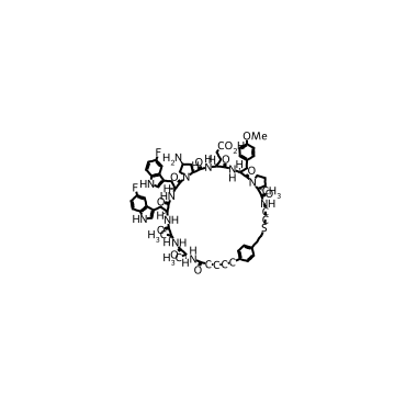 COc1ccc(C[C@@H]2NC(=O)[C@H](CCC(=O)O)NC(=O)[C@@H]3C[C@H](N)CN3C(=O)[C@@H](Cc3c[nH]c4ccc(F)cc34)NC(=O)[C@H](Cc3c[nH]c4ccc(F)cc34)NC(=O)[C@@H](C)NC(=O)[C@H](C)NC(=O)CCCCc3ccc(cc3)CSCCNC(=O)[C@]3(C)CCCN3C2=O)cc1